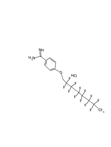 Cl.N=C(N)c1ccc(OCC(F)(F)C(F)(F)C(F)(F)C(F)(F)C(F)(F)C(F)(F)C(F)(F)F)cc1